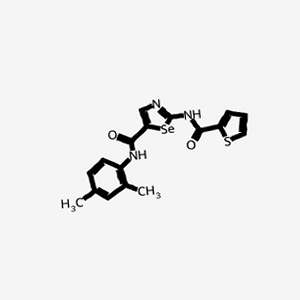 Cc1ccc(NC(=O)c2cnc(NC(=O)c3cccs3)[se]2)c(C)c1